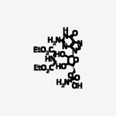 CCOC(=O)CNCC(=O)OCC.Nc1nc2c(ncn2[C@@H]2O[C@H](COP(N)(=O)O)[C@@H](O)[C@H]2O)c(=O)[nH]1